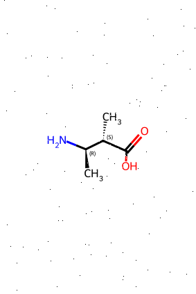 C[C@H](C(=O)O)[C@@H](C)N